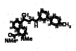 CNC(=O)c1c(NC)cnc2c(C(C)CCNc3cc(-c4ccc(C)nc4)ncn3)cccc12